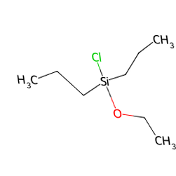 CCC[Si](Cl)(CCC)OCC